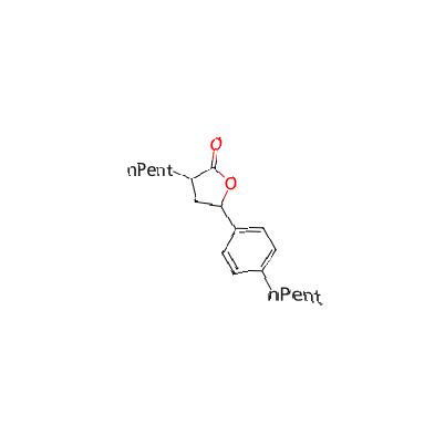 CCCCCc1ccc(C2CC(CCCCC)C(=O)O2)cc1